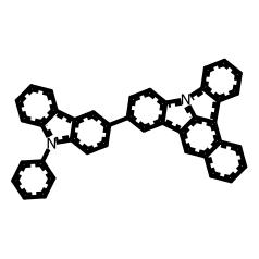 c1ccc(-n2c3ccccc3c3cc(-c4ccc5c(c4)c4cc6ccccc6c6c7ccccc7n5c46)ccc32)cc1